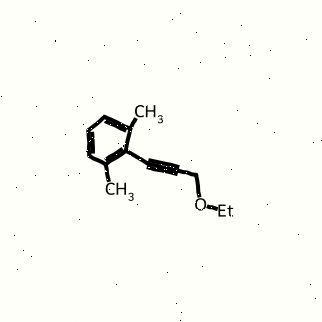 [CH2]COCC#Cc1c(C)cccc1C